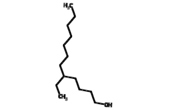 CCCCCCCC(CC)CCCCO